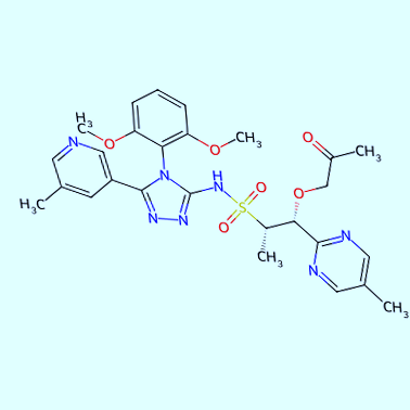 COc1cccc(OC)c1-n1c(NS(=O)(=O)[C@@H](C)[C@H](OCC(C)=O)c2ncc(C)cn2)nnc1-c1cncc(C)c1